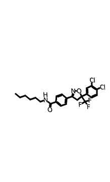 CCCCCCNC(=O)c1ccc(C2=NOC(c3ccc(Cl)c(Cl)c3)(C(F)(F)F)C2)cc1